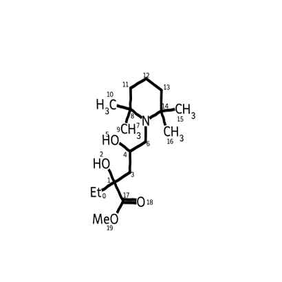 CCC(O)(CC(O)CN1C(C)(C)CCCC1(C)C)C(=O)OC